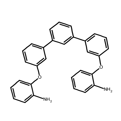 Nc1ccccc1Oc1cccc(-c2cccc(-c3cccc(Oc4ccccc4N)c3)c2)c1